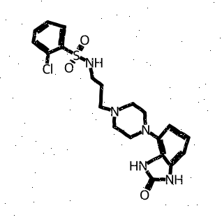 O=c1[nH]c2cccc(N3CCN(CCCNS(=O)(=O)c4ccccc4Cl)CC3)c2[nH]1